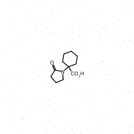 O=C1CCCN1C1(C(=O)O)CCCCC1